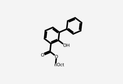 CCCCCCCCOC(=O)c1cccc(-c2ccccc2)c1O